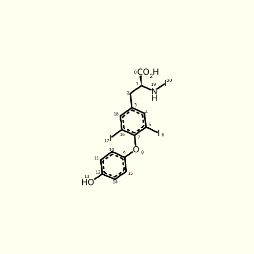 O=C(O)[C@H](Cc1cc(I)c(Oc2ccc(O)cc2)c(I)c1)NI